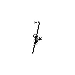 CCCCCCCCCCC(=O)O[C@H](COP=O)COC(=O)CCCCCCCCCCCS